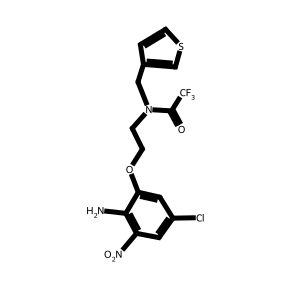 Nc1c(OCCN(Cc2ccsc2)C(=O)C(F)(F)F)cc(Cl)cc1[N+](=O)[O-]